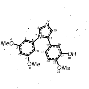 COc1cc(OC)cc(-n2cncc2-c2ccc(OC)c(O)c2)c1